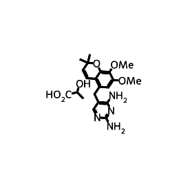 CC(O)C(=O)O.COc1cc(Cc2cnc(N)nc2N)c2c(c1OC)OC(C)(C)C=C2